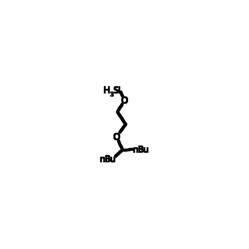 CCCCC(CCCC)OCCO[SiH3]